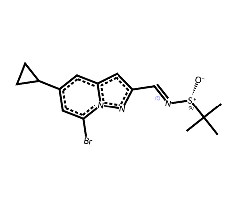 CC(C)(C)[S@@+]([O-])/N=C/c1cc2cc(C3CC3)cc(Br)n2n1